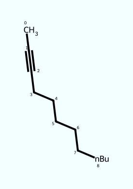 CC#CCCCCCCCCC